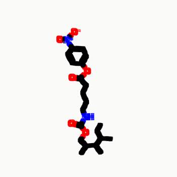 CCC(C)C(C)C(C)COC(=O)NCCCCC(=O)Oc1ccc([N+](=O)[O-])cc1